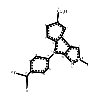 Cn1cc2c3cc(C(=O)O)ccc3n(-c3ccc(C(F)F)cc3)c2n1